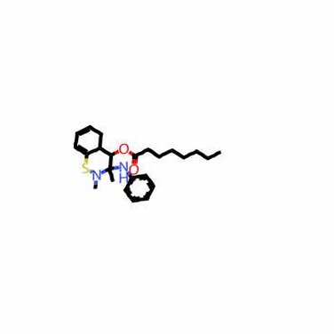 CCCCCCCC(=O)OC1C2CC=CC=C2SN(C)C1(C)Nc1ccccc1